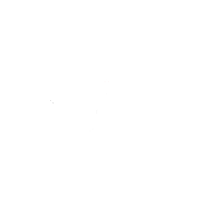 CCCCC(CC)Cc1c(C#N)cccc1OC(=O)/C=C/c1ccccc1